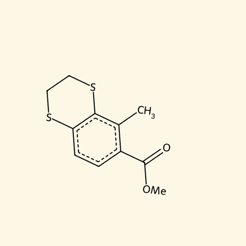 COC(=O)c1ccc2c(c1C)SCCS2